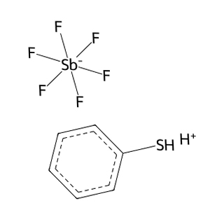 Sc1ccccc1.[F][Sb-]([F])([F])([F])([F])[F].[H+]